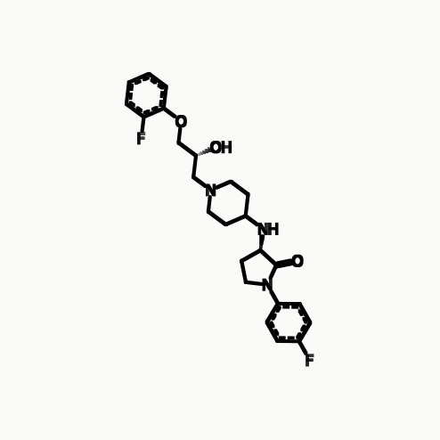 O=C1[C@H](NC2CCN(C[C@@H](O)COc3ccccc3F)CC2)CCN1c1ccc(F)cc1